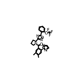 Cc1cc(C(=O)N2CCCC2c2noc(-c3ccccc3OC(F)(F)F)n2)c(-n2nccn2)cc1C